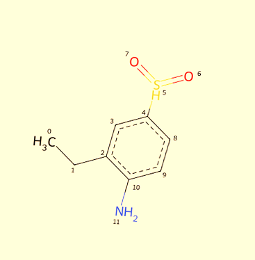 CCc1cc([SH](=O)=O)ccc1N